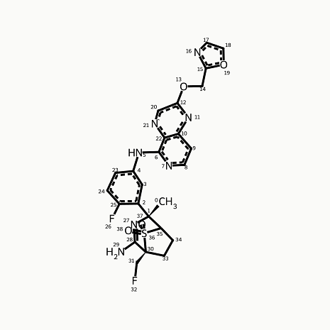 C[C@]1(c2cc(Nc3nccc4nc(OCc5ncco5)cnc34)ccc2F)N=C(N)[C@@]2(CF)CCC1S2(=O)=O